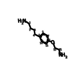 NCCCCc1ccc(OCCN)cc1